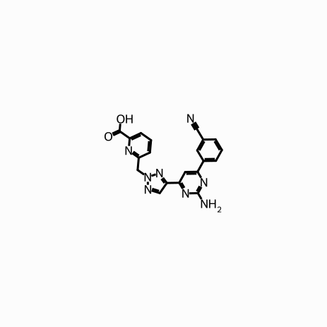 N#Cc1cccc(-c2cc(-c3cnn(Cc4cccc(C(=O)O)n4)n3)nc(N)n2)c1